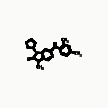 Cc1ccc(Nc2cc3c(cn2)n(C)c(=O)n3C2CCCC2)c(C)c1